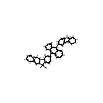 CC1(C)c2ccc(-c3c4ccccc4c(-c4ccc5oc6ccccc6c5c4)c4ccccc34)cc2-c2cc3ccccc3cc21